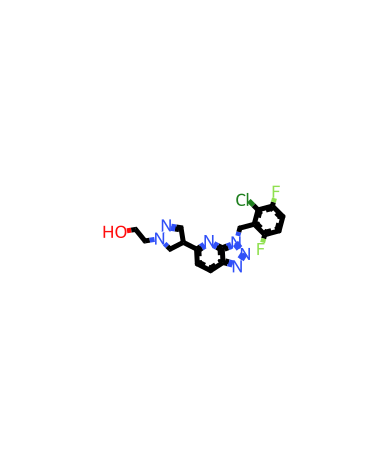 OCCN1CC(c2ccc3nnn(Cc4c(F)ccc(F)c4Cl)c3n2)C=N1